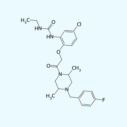 CCNC(=O)Nc1cc(Cl)ccc1OCC(=O)N1CC(C)N(Cc2ccc(F)cc2)CC1C